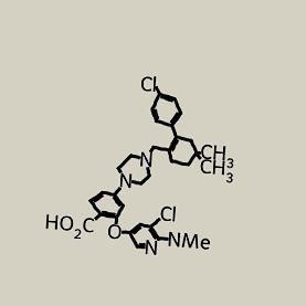 CNc1ncc(Oc2cc(N3CCN(CC4=C(c5ccc(Cl)cc5)CC(C)(C)CC4)CC3)ccc2C(=O)O)cc1Cl